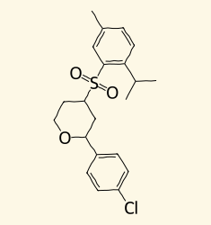 Cc1ccc(C(C)C)c(S(=O)(=O)C2CCOC(c3ccc(Cl)cc3)C2)c1